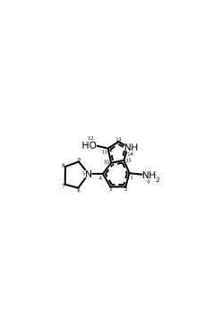 Nc1ccc(N2CCCC2)c2c(O)c[nH]c12